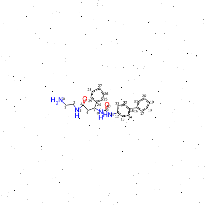 NCCNC(=O)CC(NC(=O)Nc1ccc(-c2ccccc2)cc1)c1ccccc1